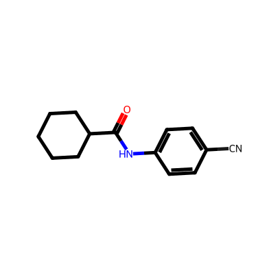 N#Cc1ccc(NC(=O)C2CCCCC2)cc1